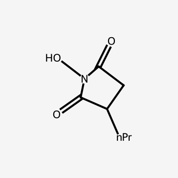 CCCC1CC(=O)N(O)C1=O